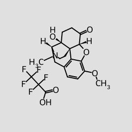 COc1ccc2c3c1O[C@H]1C(=O)CC[C@@]4(O)[C@@H](C2)N(C)CC[C@]314.O=C(O)C(F)(F)C(F)(F)F